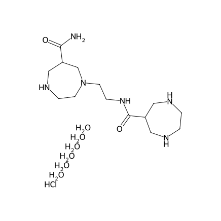 Cl.NC(=O)C1CNCCN(CCNC(=O)C2CNCCNC2)C1.O.O.O.O.O.O